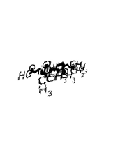 COc1cc([C@]2(C)NC(=O)N(CCC(=O)O)C=C2C(C)C)ccc1CCC(C)(C)C